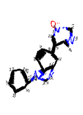 [O-][n+]1cncc(-c2ccc3c(c2)ncn3-c2ccccc2)c1